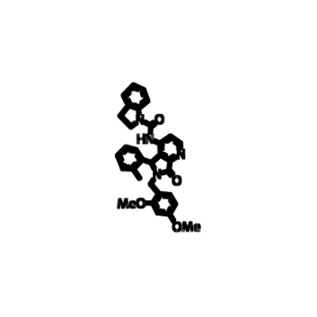 COc1ccc(CN2C(=O)c3nccc(NC(=O)N4CCc5ccccc54)c3C2c2ccccc2C)c(OC)c1